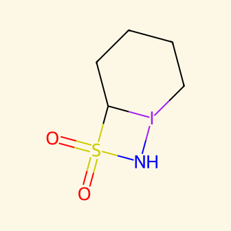 O=S1(=O)NI2CCCCC21